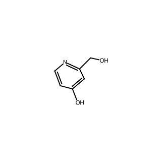 OCc1cc(O)ccn1